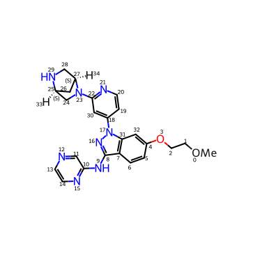 COCCOc1ccc2c(Nc3cnccn3)nn(-c3ccnc(N4C[C@@H]5C[C@H]4CN5)c3)c2c1